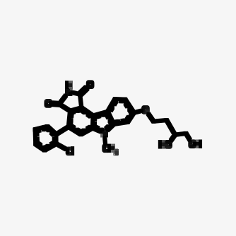 Cn1c2cc(OCCC(O)CO)ccc2c2c3c(c(-c4ccccc4Cl)cc21)C(=O)NC3=O